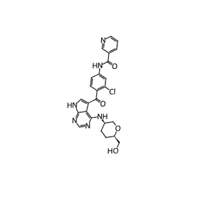 O=C(Nc1ccc(C(=O)c2c[nH]c3ncnc(N[C@@H]4CC[C@H](CO)OC4)c23)c(Cl)c1)c1cccnc1